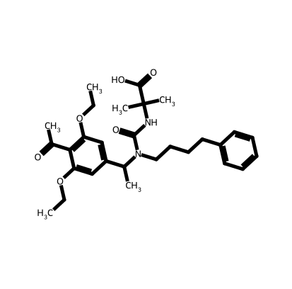 CCOc1cc(C(C)N(CCCCc2ccccc2)C(=O)NC(C)(C)C(=O)O)cc(OCC)c1C(C)=O